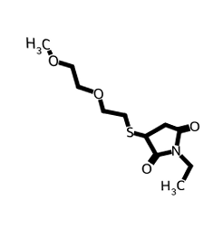 CCN1C(=O)CC(SCCOCCOC)C1=O